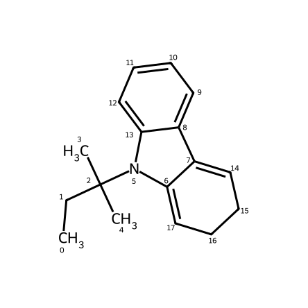 CCC(C)(C)n1c2c(c3ccccc31)=CCCC=2